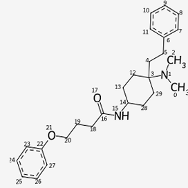 CN(C)C1(CCc2ccccc2)CCC(NC(=O)CCCOc2ccccc2)CC1